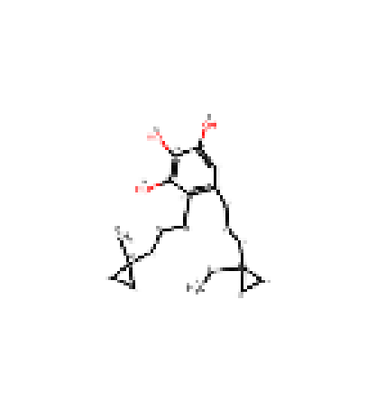 CCC1(CCCc2cc(O)c(O)c(O)c2CCCC2(C)CC2)CC1